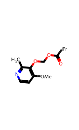 COc1ccnc(C)c1OCOC(=O)C(C)C